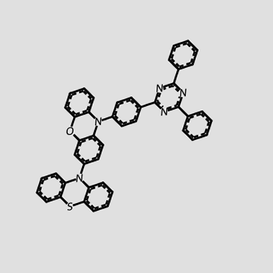 c1ccc(-c2nc(-c3ccccc3)nc(-c3ccc(N4c5ccccc5Oc5cc(N6c7ccccc7Sc7ccccc76)ccc54)cc3)n2)cc1